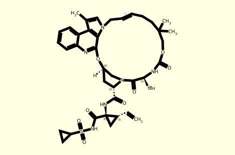 C=C[C@@H]1C[C@]1(NC(=O)[C@@H]1C[C@@H]2CN1C(=O)[C@H](C(C)(C)C)NC(=O)OCC(C)(C)CC/C=C/Cn1cc(C)c3c4ccccc4nc(c31)O2)C(=O)NS(=O)(=O)C1CC1